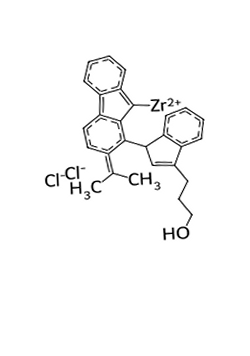 CC(C)=c1ccc2c(c1C1C=C(CCCO)c3ccccc31)[C]([Zr+2])=c1ccccc1=2.[Cl-].[Cl-]